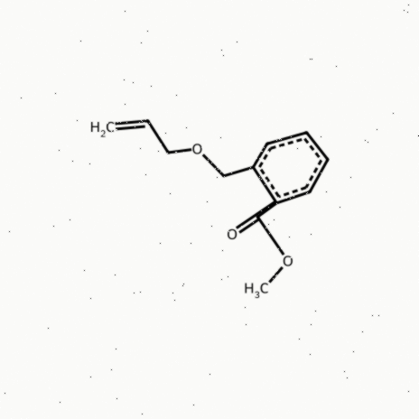 C=CCOCc1ccccc1C(=O)OC